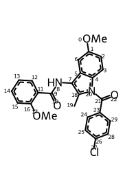 COc1ccc2c(c1)c(NC(=O)c1ccccc1OC)c(C)n2C(=O)c1ccc(Cl)cc1